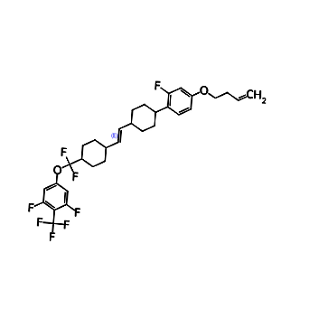 C=CCCOc1ccc(C2CCC(/C=C/C3CCC(C(F)(F)Oc4cc(F)c(C(F)(F)F)c(F)c4)CC3)CC2)c(F)c1